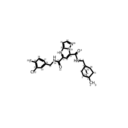 CC12CCC(CNC(=O)c3cc(C(=O)NCc4ccc(F)c(Cl)c4)nc4ccnn34)(CC1)CC2